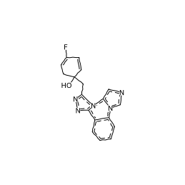 OC1(Cc2nnc3c4ccccc4n4cncc4n23)C=CC(F)=CC1